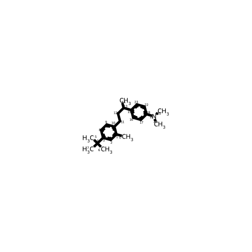 Cc1cc(C(C)(C)C)ccc1CCC(C)c1ccc(N(C)C)cc1